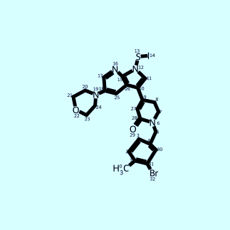 Cc1ccc(CN2CCC(c3cn(SI)c4ncc(N5CCOCC5)cc34)=CC2=O)cc1Br